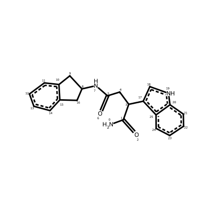 NC(=O)C([CH]C(=O)NC1Cc2ccccc2C1)c1c[nH]c2ccccc12